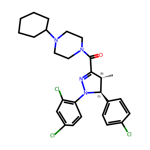 C[C@H]1C(C(=O)N2CCN(C3CCCCC3)CC2)=NN(c2ccc(Cl)cc2Cl)[C@@H]1c1ccc(Cl)cc1